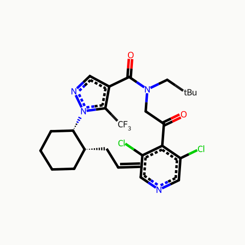 C=CC[C@@H]1CCCC[C@@H]1n1ncc(C(=O)N(CC(=O)c2c(Cl)cncc2Cl)CC(C)(C)C)c1C(F)(F)F